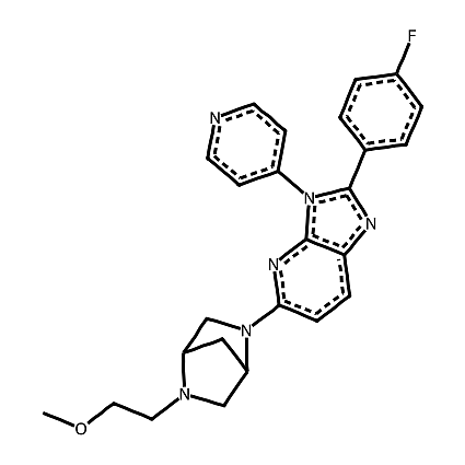 COCCN1CC2CC1CN2c1ccc2nc(-c3ccc(F)cc3)n(-c3ccncc3)c2n1